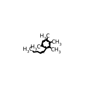 CCC/C=[C]\c1c(C)cc(C)c(C)c1C